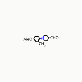 COc1ccc(N2CCC(C=O)CC2)c(C)c1